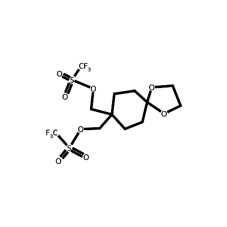 O=S(=O)(OCC1(COS(=O)(=O)C(F)(F)F)CCC2(CC1)OCCO2)C(F)(F)F